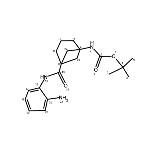 CC(C)(C)OC(=O)NC12CCCC(C(=O)Nc3ccccc3N)(C1)C2